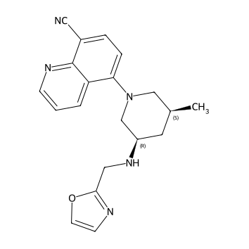 C[C@H]1C[C@@H](NCc2ncco2)CN(c2ccc(C#N)c3ncccc23)C1